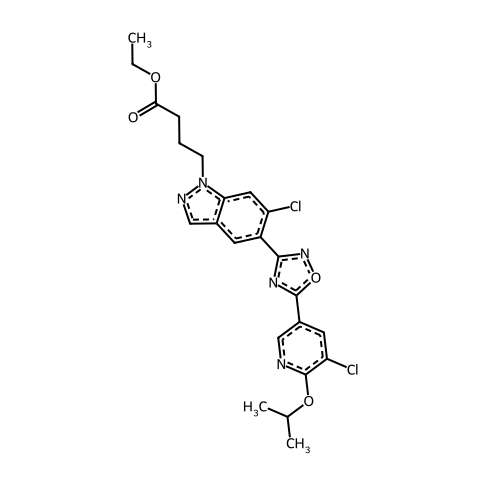 CCOC(=O)CCCn1ncc2cc(-c3noc(-c4cnc(OC(C)C)c(Cl)c4)n3)c(Cl)cc21